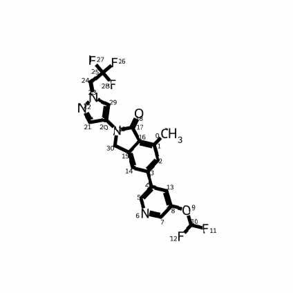 Cc1cc(-c2cncc(OC(F)F)c2)cc2c1C(=O)N(c1cnn(CC(F)(F)F)c1)C2